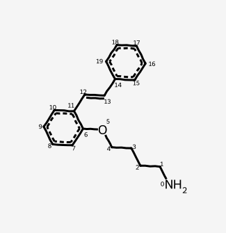 NCCCCOc1ccccc1C=Cc1ccccc1